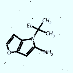 CCC(C)(C)n1c(N)cc2occc21